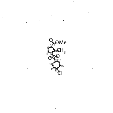 COC(=O)c1scc(S(=O)(=O)c2ccc(Cl)cc2)c1C